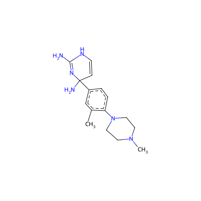 Cc1cc(C2(N)C=CNC(N)=N2)ccc1N1CCN(C)CC1